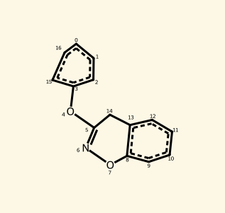 c1ccc(OC2=NOc3ccccc3C2)cc1